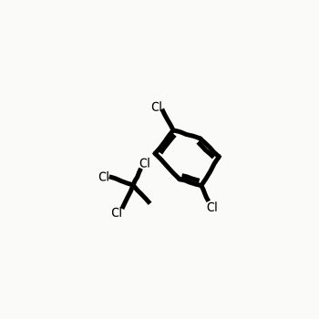 CC(Cl)(Cl)Cl.Clc1ccc(Cl)cc1